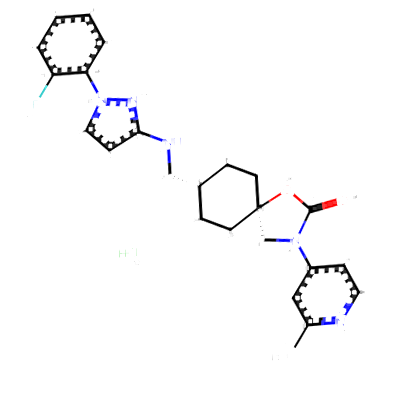 Cc1cc(N2C[C@]3(CC[C@@H](CNc4ccn(-c5ccccc5F)n4)CC3)OC2=O)ccn1.Cl